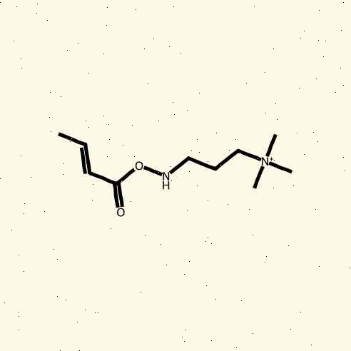 CC=CC(=O)ONCCC[N+](C)(C)C